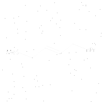 [CH2]CCC/C=C/CSC